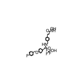 O=C(/C=C/c1ccc(CNC2CC2c2ccc(OCc3ccc(F)cc3)cc2)cc1)NO.O=C(O)C(F)(F)F